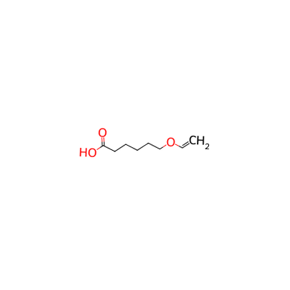 C=COCCCCCC(=O)O